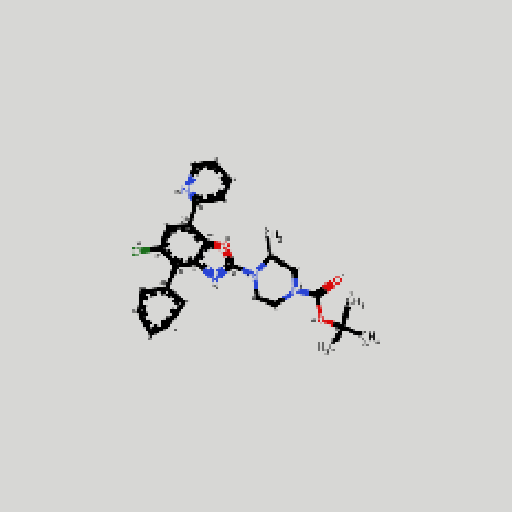 C[C@H]1CN(C(=O)OC(C)(C)C)CCN1c1nc2c(-c3ccccc3)c(Cl)cc(-c3ccccn3)c2o1